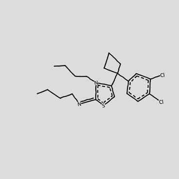 CCCC/N=c1/scc(C2(c3ccc(Cl)c(Cl)c3)CCC2)n1CCCC